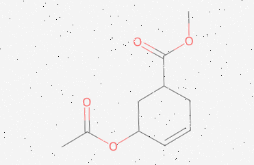 COC(=O)C1CC=CC(OC(C)=O)C1